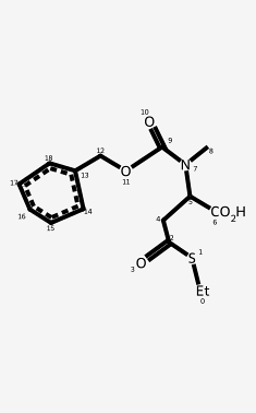 CCSC(=O)CC(C(=O)O)N(C)C(=O)OCc1ccccc1